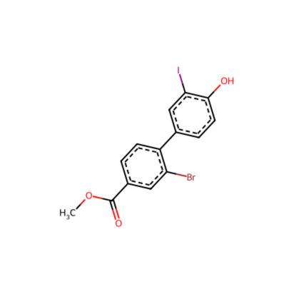 COC(=O)c1ccc(-c2ccc(O)c(I)c2)c(Br)c1